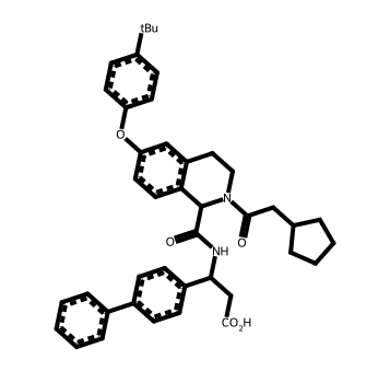 CC(C)(C)c1ccc(Oc2ccc3c(c2)CCN(C(=O)CC2CCCC2)C3C(=O)NC(CC(=O)O)c2ccc(-c3ccccc3)cc2)cc1